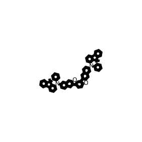 CC1(C)c2ccccc2-c2cccc(N(c3ccccc3)c3ccc4cc5c(cc4c3)oc3c5ccc4oc5cc6cc(N(c7ccccc7)c7cccc8c7C(C)(C)c7ccccc7-8)ccc6cc5c43)c21